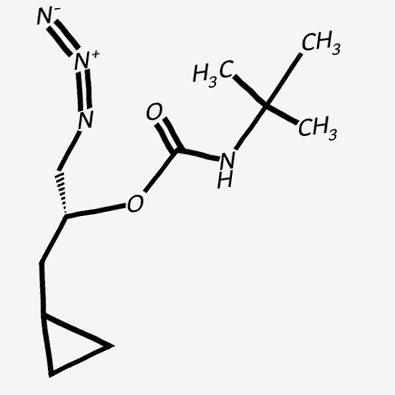 CC(C)(C)NC(=O)O[C@@H](CN=[N+]=[N-])CC1CC1